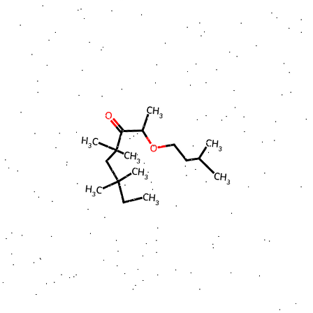 CCC(C)(C)CC(C)(C)C(=O)C(C)OCCC(C)C